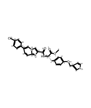 COC(=O)[C@H](Cc1ccc(OCc2ccsc2)cc1)NC(=O)c1cn2cc(-c3ccc(Cl)cc3)ccc2n1